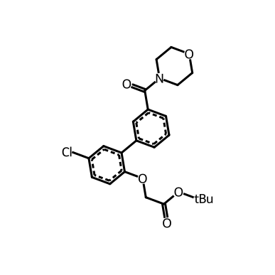 CC(C)(C)OC(=O)COc1ccc(Cl)cc1-c1cccc(C(=O)N2CCOCC2)c1